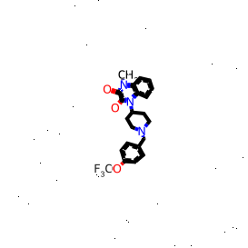 Cn1c(=O)c(=O)n(C2CCN(Cc3ccc(OC(F)(F)F)cc3)CC2)c2ccccc21